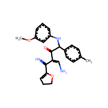 COc1cccc(NC(C(=O)/C(=C/N)C(=N)C2=CCCO2)c2ccc(C)cc2)c1